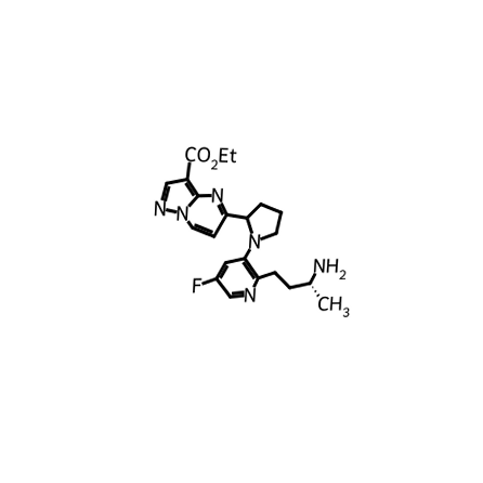 CCOC(=O)c1cnn2ccc(C3CCCN3c3cc(F)cnc3CC[C@@H](C)N)nc12